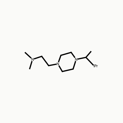 CC(C)C(C)N1CCN(CCN(C)C)CC1